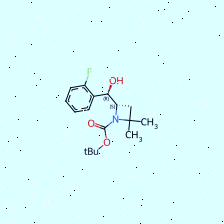 CC(C)(C)OC(=O)N1[C@H]([C@H](O)c2ccccc2F)CC1(C)C